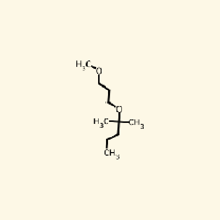 CCCC(C)(C)O[CH]CCOC